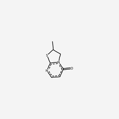 CC1Cn2c(nccc2=O)S1